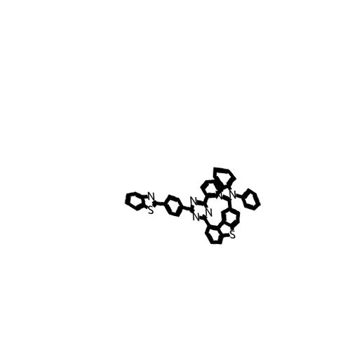 c1ccc(-c2nc(-c3ccc(-c4nc5ccccc5s4)cc3)nc(-c3cccc4sc5ccc(-c6nc7ccccc7n6-c6ccccc6)cc5c34)n2)cc1